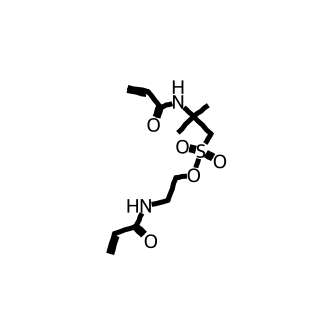 C=CC(=O)NCCOS(=O)(=O)CC(C)(C)NC(=O)C=C